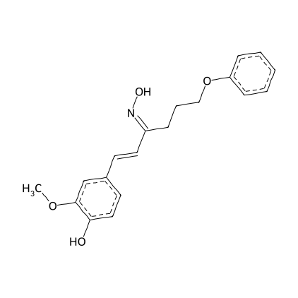 COc1cc(/C=C/C(CCCOc2ccccc2)=NO)ccc1O